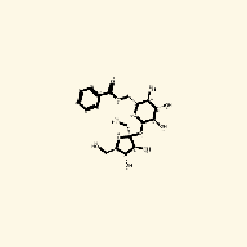 O=C(OC[C@H]1O[C@H](O[C@]2(CO)O[C@H](CO)[C@@H](O)[C@@H]2O)[C@H](O)[C@@H](O)[C@@H]1O)c1ccccc1